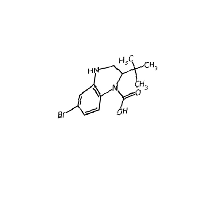 CC(C)(C)C1CNc2cc(Br)ccc2N1C(=O)O